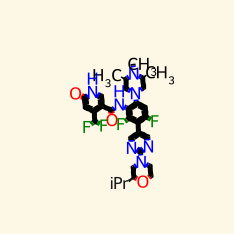 CC(C)[C@H]1CN(c2ncc(-c3c(F)cc(N4C[C@@H](C)N(C)[C@@H](C)C4)c(NC(=O)c4c[nH]c(=O)cc4C(F)F)c3F)cn2)CCO1